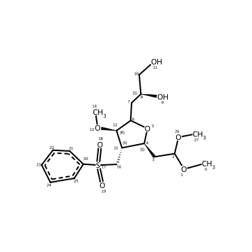 COC(C[C@@H]1OC(C[C@H](O)CO)[C@H](OC)[C@H]1CS(=O)(=O)c1ccccc1)OC